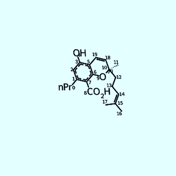 CCCc1cc(O)c2c(c1C(=O)O)O[C@](C)(CCC=C(C)C)C=C2